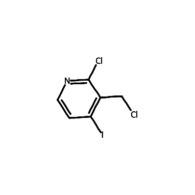 ClCc1c(I)ccnc1Cl